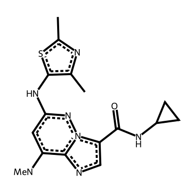 CNc1cc(Nc2sc(C)nc2C)nn2c(C(=O)NC3CC3)cnc12